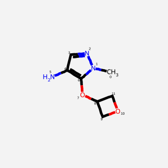 Cn1ncc(N)c1OC1COC1